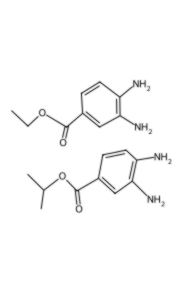 CC(C)OC(=O)c1ccc(N)c(N)c1.CCOC(=O)c1ccc(N)c(N)c1